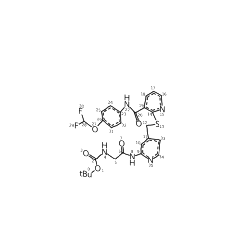 CC(C)(C)OC(=O)NCC(=O)Nc1cc(CSc2ncccc2C(=O)Nc2ccc(OC(F)F)cc2)ccn1